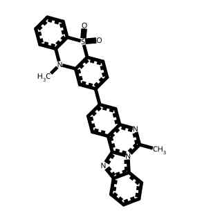 Cc1nc2cc(-c3ccc4c(c3)N(C)c3ccccc3S4(=O)=O)ccc2c2nc3ccccc3n12